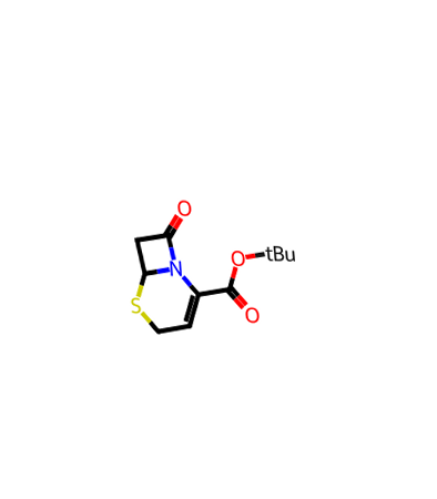 CC(C)(C)OC(=O)C1=CCSC2CC(=O)N12